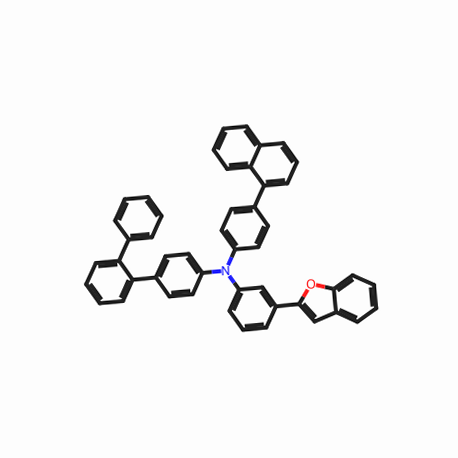 c1ccc(-c2ccccc2-c2ccc(N(c3ccc(-c4cccc5ccccc45)cc3)c3cccc(-c4cc5ccccc5o4)c3)cc2)cc1